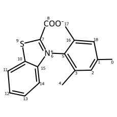 Cc1cc(C)c(-[n+]2c(C(=O)[O-])sc3ccccc32)c(C)c1